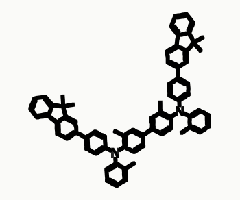 Cc1ccccc1N(c1ccc(-c2ccc3c(c2)C(C)(C)c2ccccc2-3)cc1)c1ccc(-c2ccc(N(c3ccc(-c4ccc5c(c4)C(C)(C)c4ccccc4-5)cc3)c3ccccc3C)c(C)c2)cc1C